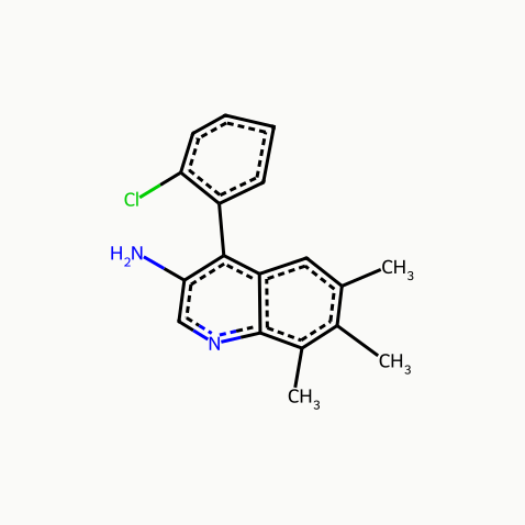 Cc1cc2c(-c3ccccc3Cl)c(N)cnc2c(C)c1C